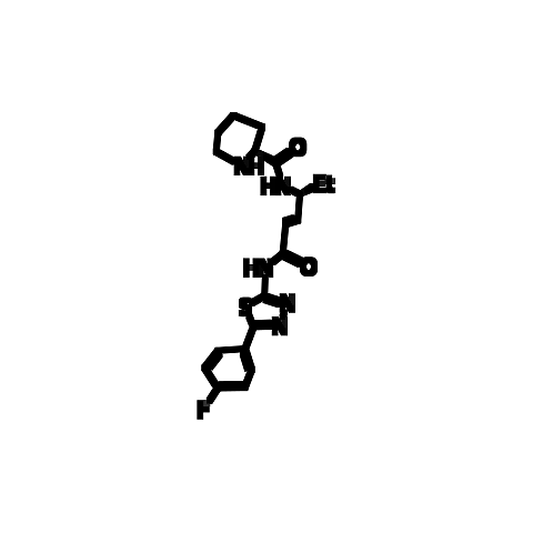 CC[C@@H](C=CC(=O)Nc1nnc(-c2ccc(F)cc2)s1)NC(=O)[C@@H]1CCCCN1